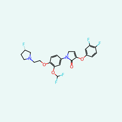 O=C1C(Oc2ccc(F)c(F)c2)=CCN1c1ccc(OCCN2CC[C@H](F)C2)c(OC(F)F)c1